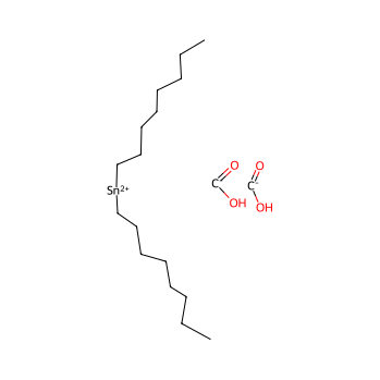 CCCCCCC[CH2][Sn+2][CH2]CCCCCCC.O=[C-]O.O=[C-]O